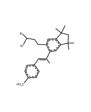 CCC(CC)CCc1cc2c(cc1C(C)=Cc1ccc(C(=O)O)cc1)C(C)(C)CC2(C)C